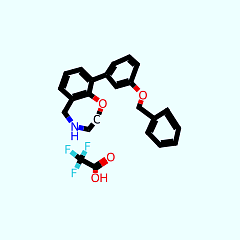 O=C(O)C(F)(F)F.c1ccc(COc2cccc(-c3cccc4c3OCCNC4)c2)cc1